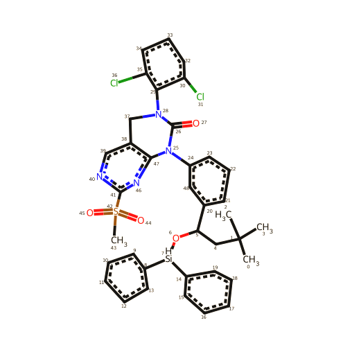 CC(C)(C)CC(O[SiH](c1ccccc1)c1ccccc1)c1cccc(N2C(=O)N(c3c(Cl)cccc3Cl)Cc3cnc(S(C)(=O)=O)nc32)c1